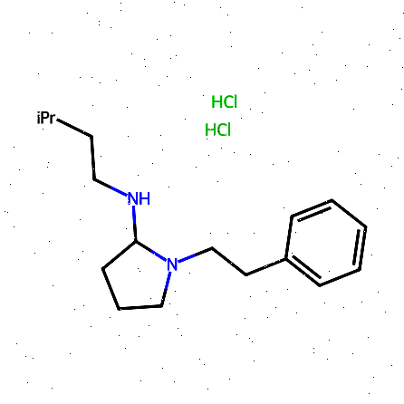 CC(C)CCNC1CCCN1CCc1ccccc1.Cl.Cl